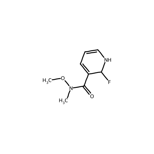 CON(C)C(=O)C1=CC=CNC1F